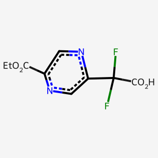 CCOC(=O)c1cnc(C(F)(F)C(=O)O)cn1